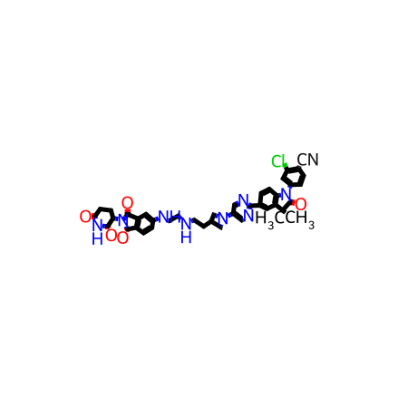 CC1(C)C(=O)N(c2ccc(C#N)c(Cl)c2)c2ccc(-c3ncc(N4CC(CCNCCNc5ccc6c(c5)C(=O)N(C5CCC(=O)NC5=O)C6=O)C4)cn3)cc21